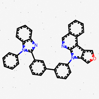 c1ccc(-n2c(-c3cccc(-c4cccc(-n5c6cocc6c6c7ccccc7cnc65)c4)c3)nc3ccccc32)cc1